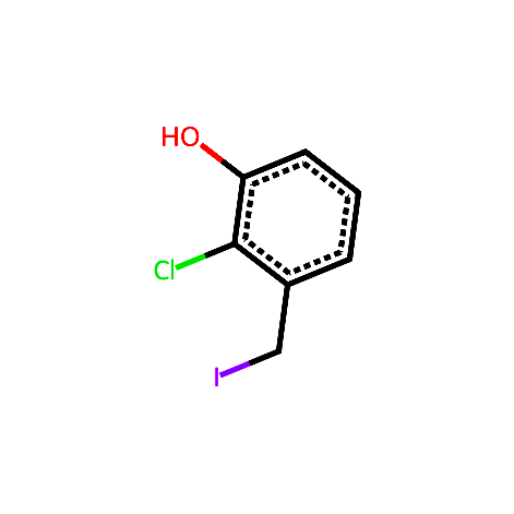 Oc1cccc(CI)c1Cl